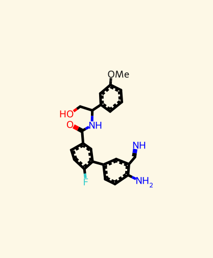 COc1cccc(C(CO)NC(=O)c2ccc(F)c(-c3ccc(N)c(C=N)c3)c2)c1